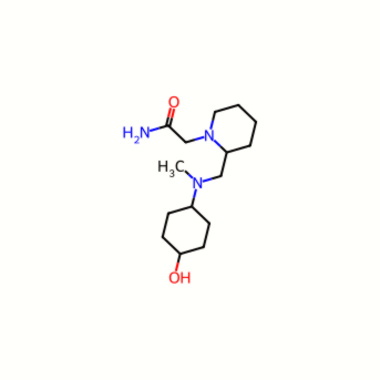 CN(CC1CCCCN1CC(N)=O)C1CCC(O)CC1